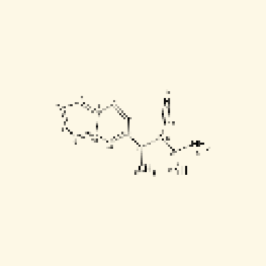 CC(c1ccc2ccccc2c1)N(C#N)C(=N)N